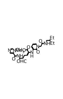 CCC(CC)CNC(=O)Cn1cccc(NC(=CCCC(C=O)NC(=O)c2cncn2C)C(=O)OC)c1=O